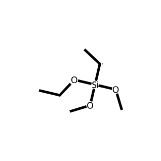 C[CH][Si](OC)(OC)OCC